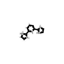 c1cc(-c2ncc[nH]2)nc(-c2ncc[nH]2)c1